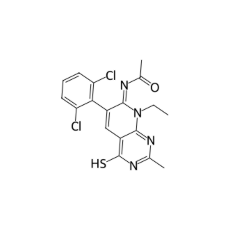 CCn1c(=NC(C)=O)c(-c2c(Cl)cccc2Cl)cc2c(S)nc(C)nc21